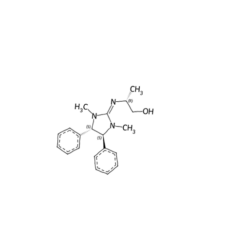 C[C@H](CO)N=C1N(C)[C@@H](c2ccccc2)[C@H](c2ccccc2)N1C